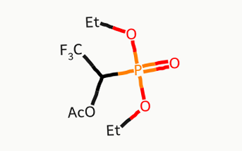 CCOP(=O)(OCC)C(OC(C)=O)C(F)(F)F